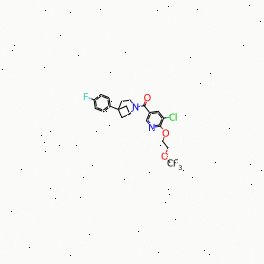 O=C(c1cnc(OCCOC(F)(F)F)c(Cl)c1)N1CCC2(c3ccc(F)cc3)CC1C2